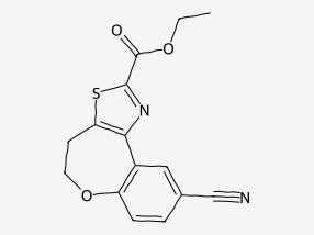 CCOC(=O)c1nc2c(s1)CCOc1ccc(C#N)cc1-2